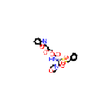 O=C(COC(=O)N[C@H](CS(=O)(=O)Cc1ccccc1)C(=O)N1CCOCC1)Cc1nc2ccccc2o1